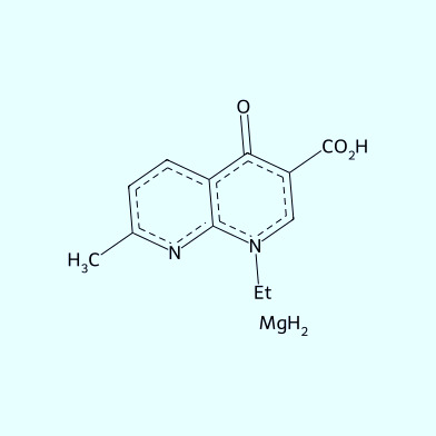 CCn1cc(C(=O)O)c(=O)c2ccc(C)nc21.[MgH2]